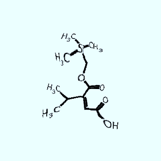 CC(C)C(=CC(=O)O)C(=O)OC[Si](C)(C)C